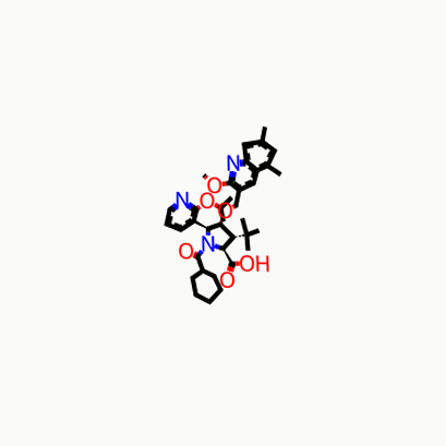 COc1nc2cc(C)cc(C)c2cc1CO[C@H]1[C@H](C(C)(C)C)[C@@H](C(=O)O)N(C(=O)C2CCCCC2)[C@H]1c1cccnc1OC(C)C